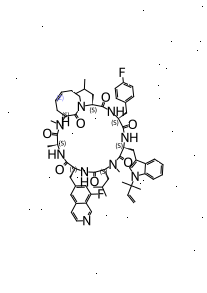 C=CC(C)(C)n1cc(C[C@@H]2NC(=O)[C@H](Cc3ccc(F)cc3)NC(=O)[C@H](CC(C)C)N3CC/C=C\C[C@@H](C3=O)N(C)C(=O)[C@H](C)NC(=O)[C@H](Cc3cc(F)c4cnccc4c3)NC(=O)[C@H](CC(C)C)N(C)C2=O)c2ccccc21